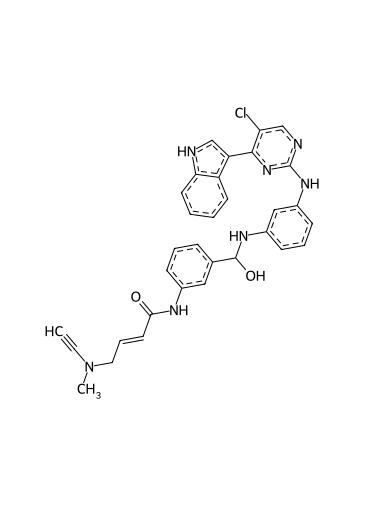 C#CN(C)C/C=C/C(=O)Nc1cccc(C(O)Nc2cccc(Nc3ncc(Cl)c(-c4c[nH]c5ccccc45)n3)c2)c1